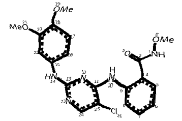 CONC(=O)c1ccccc1Nc1nc(Nc2ccc(OC)c(OC)c2)ncc1Cl